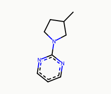 CC1CCN(c2ncccn2)C1